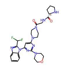 O=C(NCC(=O)N1CCN(c2cc(-n3c(C(F)F)nc4ccccc43)nc(N3CCOCC3)n2)CC1)[C@@H]1CCCN1